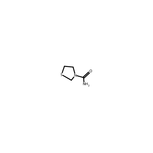 NC(=O)N1CCSC1